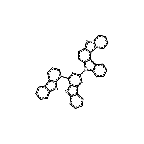 c1ccc2c(c1)oc1c(-c3nc(-n4c5ccccc5c5c6c(ccc54)sc4ccccc46)nc4c3oc3ccccc34)cccc12